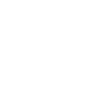 O=C1NC(=O)N(Cc2ccc(OCCc3coc(-c4ccccc4)n3)cc2)C1=O